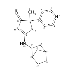 CC1(c2ccncc2)SC(NC2CC3CCC2C3)=NC1=O